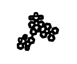 c1ccc(C2(c3ccccc3)c3ccccc3-c3c(N(c4cccc(-c5ccc6c(c5)C5(c7ccccc7Oc7ccccc75)c5ccccc5-6)c4)c4cccc5c4-c4ccccc4C54c5ccccc5Oc5ccccc54)cccc32)cc1